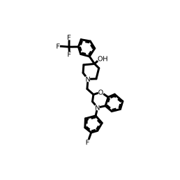 OC1(c2cccc(C(F)(F)F)c2)CCN(CC2CN(c3ccc(F)cc3)c3ccccc3O2)CC1